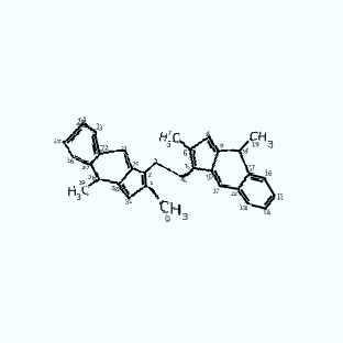 CC1=C(CCC2=C(C)C=C3C2=Cc2ccccc2C3C)C2=Cc3ccccc3C(C)C2=C1